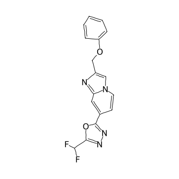 FC(F)c1nnc(-c2ccn3cc(COc4ccccc4)nc3c2)o1